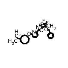 C=C(C)C1CCCCCC(Oc2cccc(-c3nnc(C(C)(OCc4ccccc4)C(F)(F)F)o3)n2)CC1